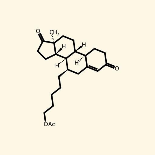 CC(=O)OCCCCC[C@@H]1CC2=CC(=O)CC[C@@H]2[C@H]2CC[C@]3(C)C(=O)CC[C@H]3[C@H]12